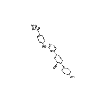 N#Cc1cc(-c2ccnc(Nc3ccc(-c4nn[nH]n4)cc3)n2)ccc1N1CCC(O)CC1